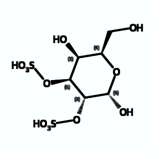 O=S(=O)(O)O[C@@H]1[C@@H](OS(=O)(=O)O)[C@@H](O)[C@@H](CO)O[C@@H]1O